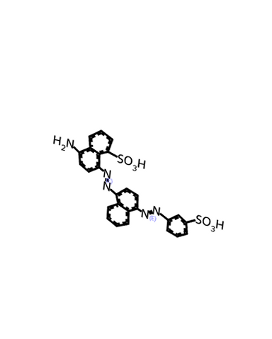 Nc1ccc(/N=N/c2ccc(/N=N/c3cccc(S(=O)(=O)O)c3)c3ccccc23)c2c(S(=O)(=O)O)cccc12